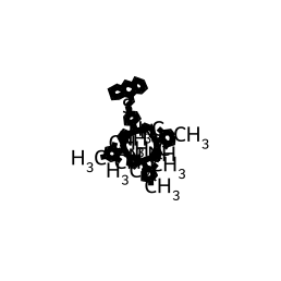 Cc1cc(C)c(-c2c3nc(c(-c4c(C)cc(C)cc4C)c4ccc([nH]4)c(-c4c(C)cc(C)cc4C)c4nc(c(-c5ccc(SCc6c7ccccc7cc7ccccc67)cc5)c5ccc2[nH]5)C=C4)C=C3)c(C)c1